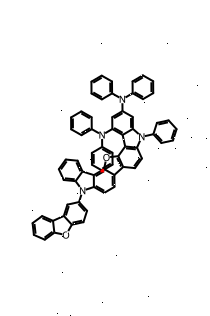 c1ccc(N(c2ccccc2)c2cc(N(c3ccccc3)c3ccccc3)c3c4c5oc6c(ccc7c6c6ccccc6n7-c6ccc7oc8ccccc8c7c6)c5ccc4n(-c4ccccc4)c3c2)cc1